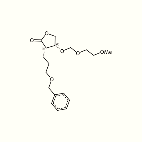 COCCOCO[C@H]1COC(=O)[C@H]1CCCOCc1ccccc1